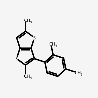 Cc1ccc(-c2c(C)sc3cc(C)sc23)c(C)c1